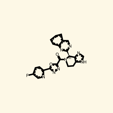 O=C(c1nnc(-c2ccc(F)cn2)o1)N1CCc2[nH]cnc2[C@@H]1c1ncc2ccccc2n1